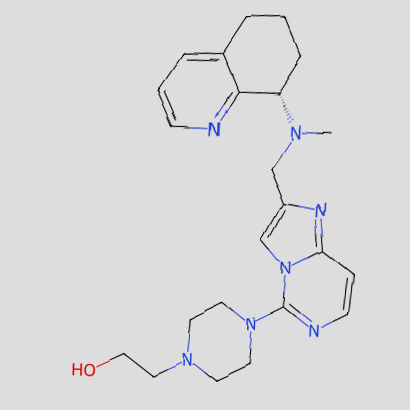 CN(Cc1cn2c(N3CCN(CCO)CC3)nccc2n1)[C@H]1CCCc2cccnc21